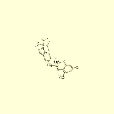 CC(C)[Si](C(C)C)(C(C)C)n1ccc2cc(NC3=Nc4c(O)cc(Cl)cc4SN3)c(F)cc21